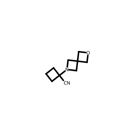 N#CC1(N2CC3(COC3)C2)CCC1